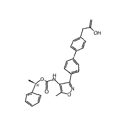 C=C(O)Cc1ccc(-c2ccc(-c3noc(C)c3NC(=O)O[C@H](C)c3ccccc3)cc2)cc1